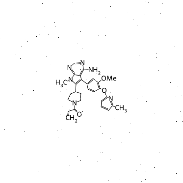 C=CC(=O)N1CCC(c2c(-c3ccc(Oc4cccc(C)n4)c(OC)c3)c3c(N)ncnc3n2C)CC1